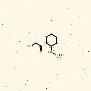 N#CCC(=O)[C@@H]1CCCC[C@H]1NC(=O)O